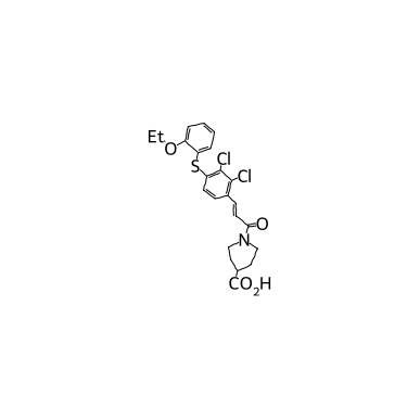 CCOc1ccccc1Sc1ccc(C=CC(=O)N2CCC(C(=O)O)CC2)c(Cl)c1Cl